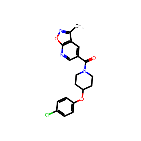 Cc1noc2ncc(C(=O)N3CCC(Oc4ccc(Cl)cc4)CC3)cc12